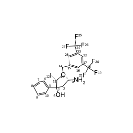 NCCC(O)(c1ccccc1)[C@H](I)OCc1cc(C(F)(F)F)cc(C(F)(F)F)c1